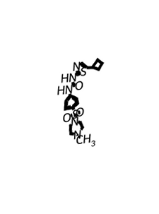 CN1CCN(S(=O)(=O)c2ccc(NC(=O)Nc3ncc(C4CCC4)s3)cc2)CC1